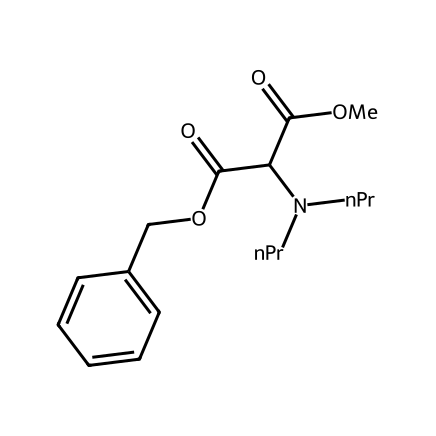 CCCN(CCC)C(C(=O)OC)C(=O)OCc1ccccc1